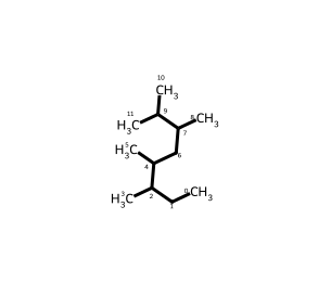 CCC(C)C(C)CC(C)C(C)C